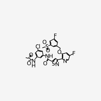 CS(=O)(=O)Nc1cc(Cl)cc(NC(=O)c2cc(-c3ncc(F)cc3OCc3cc(F)cc(S(C)(=O)=O)c3)ns2)c1